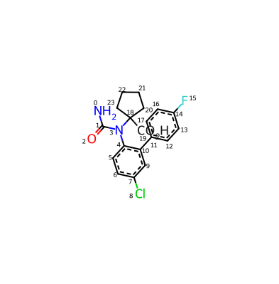 NC(=O)N(c1ccc(Cl)cc1-c1ccc(F)cc1)C1(C(=O)O)CCCC1